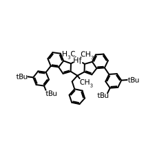 CC1(Cc2ccccc2)C2=Cc3c(-c4cc(C(C)(C)C)cc(C(C)(C)C)c4)cccc3[CH]2[Hf]([CH3])([CH3])[CH]2C1=Cc1c(-c3cc(C(C)(C)C)cc(C(C)(C)C)c3)cccc12